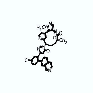 CC1CCCC(n2cnc(-c3cc(Cl)ccc3-c3ccc4ccncc4c3)cc2=O)c2cc(ccn2)-c2c(cnn2C)NC1=O